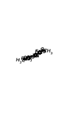 COC(=O)c1ccc(-c2ccc(OCC3CCN(CC(C)(C)F)CC3)cn2)c(F)c1